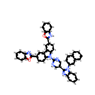 c1ccc2cc(-n3c(-c4cnc(-n5c6ccc(-c7nc8ccccc8o7)cc6c6cc(-c7nc8ccccc8o7)ccc65)nc4)nc4ccccc43)ccc2c1